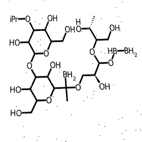 BBOC(OC(CO)[C@@H](C)O)[C@@H](O)COC(B)(C)C1OC(CO)C(O)C(OC2OC(CO)C(O)C(OC(C)C)C2O)C1O